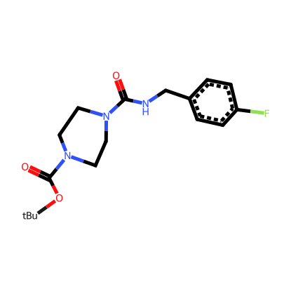 CC(C)(C)OC(=O)N1CCN(C(=O)NCc2ccc(F)cc2)CC1